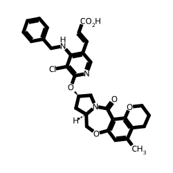 Cc1cc2c(c3c1CCCO3)C(=O)N1C[C@@H](Oc3ncc(/C=C/C(=O)O)c(NCc4ccccc4)c3Cl)C[C@@H]1CO2